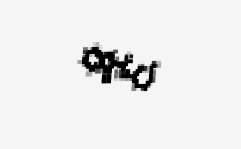 CN1CCCC(NC(=O)c2cc3ccccc3[nH]2)C1